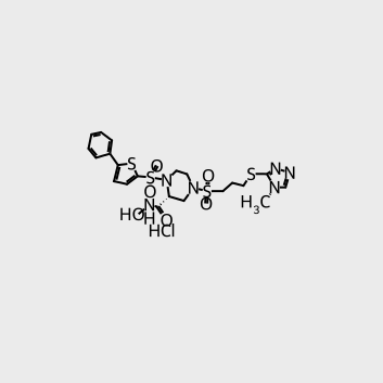 Cl.Cn1cnnc1SCCCS(=O)(=O)N1CCN(S(=O)(=O)c2ccc(-c3ccccc3)s2)[C@@H](C(=O)NO)C1